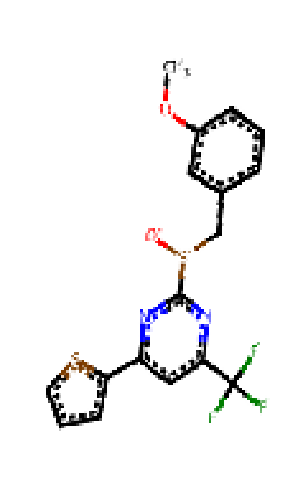 COc1cccc(C[S+]([O-])c2nc(-c3cccs3)cc(C(F)(F)F)n2)c1